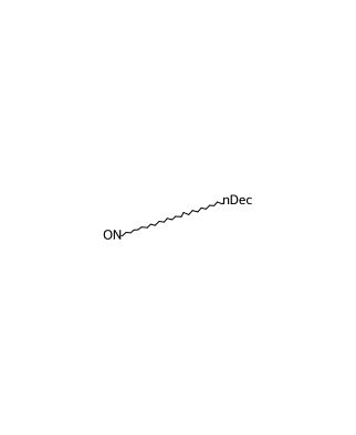 CCCCCCCCCCCCCCCCCCCCCCCCCCCCCCCCCCCN=O